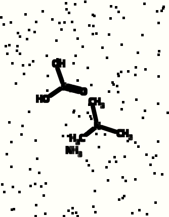 CN(C)C.N.O=S(O)O